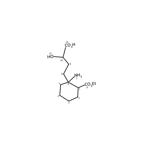 CCOC(=O)C1CCCCC1(N)CCC(O)C(=O)O